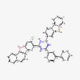 Clc1cc2oc3c4ccccc4ccc3c2cc1-c1nc(-c2cccc(-c3ccccc3)c2)nc(-c2ccc3c(c2)sc2ccccc23)n1